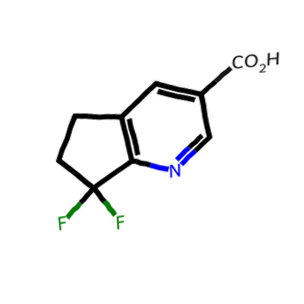 O=C(O)c1cnc2c(c1)CCC2(F)F